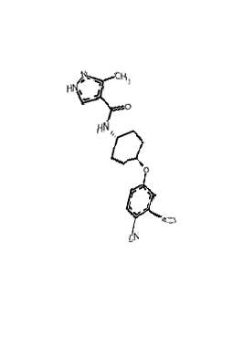 Cc1n[nH]cc1C(=O)N[C@H]1CC[C@H](Oc2ccc(C#N)c(Cl)c2)CC1